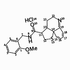 COc1ccccc1CNC(=O)C1CSC23C=CC=CC2=NCCC13.Cl